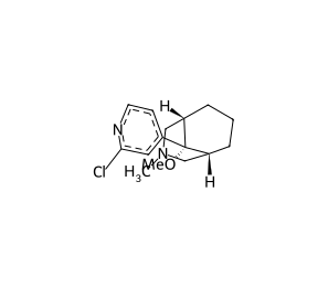 CO[C@@]1(c2ccnc(Cl)c2)[C@@H]2CCC[C@H]1CN(C)C2